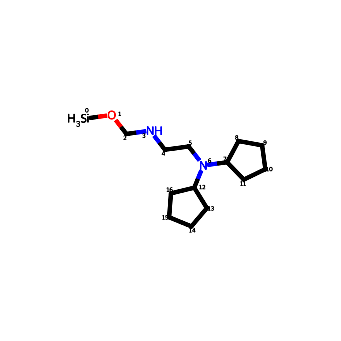 [SiH3]OCNCCN(C1CCCC1)C1CCCC1